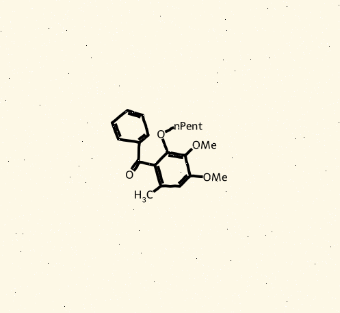 CCCCCOc1c(OC)c(OC)cc(C)c1C(=O)c1ccccc1